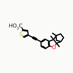 CC12CCC(C1)C1(C)Oc3ccc(C#Cc4csc(C(=O)O)c4)cc3C21C